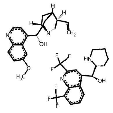 C=C[C@H]1C[N@]2CC[C@H]1C[C@H]2[C@H](O)c1ccnc2ccc(OC)cc12.O[C@@H](c1cc(C(F)(F)F)nc2c(C(F)(F)F)cccc12)[C@H]1CCCCN1